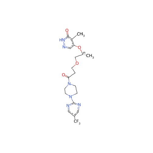 Cc1c(O[C@H](C)COCCC(=O)N2CCN(c3ncc(C(F)(F)F)cn3)CC2)cn[nH]c1=O